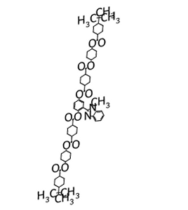 Cn1c(-c2cc(OC(=O)C3CCC(C(=O)O[C@H]4CC[C@H](OC(=O)C5CCC(C(C)(C)C)CC5)CC4)CC3)ccc2OC(=O)C2CCC(C(=O)O[C@H]3CC[C@H](OC(=O)C4CCC(C(C)(C)C)CC4)CC3)CC2)nc2ccccc21